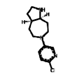 Clc1ccc(N2CC[C@H]3CCN[C@H]3CC2)cn1